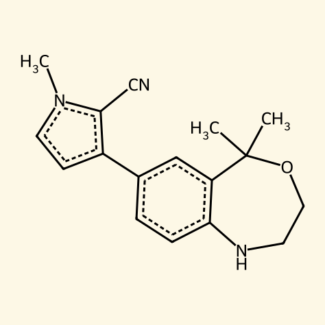 Cn1ccc(-c2ccc3c(c2)C(C)(C)OCCN3)c1C#N